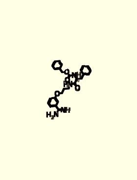 N=C(N)c1cccc(OCCCNC(=O)[C@H](Cc2ccccc2)NC(=O)OCc2ccccc2)c1